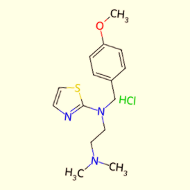 COc1ccc(CN(CCN(C)C)c2nccs2)cc1.Cl